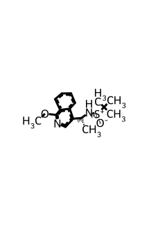 COc1ncc([C@@H](C)N[S@@+]([O-])C(C)(C)C)c2ccccc12